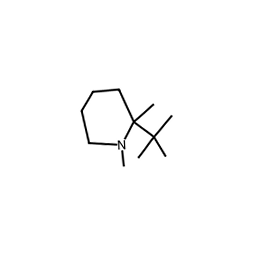 CN1CCCCC1(C)C(C)(C)C